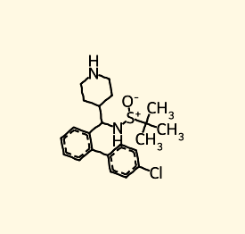 CC(C)(C)[S+]([O-])NC(c1ccccc1-c1ccc(Cl)cc1)C1CCNCC1